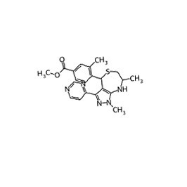 COC(=O)c1ccc(C2SCC(C)Nc3c2c(-c2ccncn2)nn3C)c(C)c1